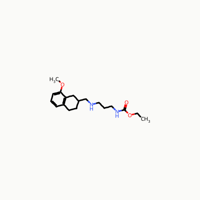 CCOC(=O)NCCCNCC1CCc2cccc(OC)c2C1